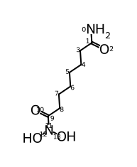 NC(=O)CCCCCCC(=O)N(O)O